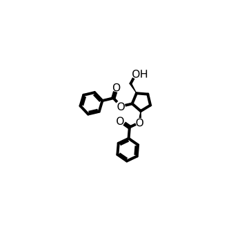 O=C(OC1[C@@H](CO)CC[C@H]1OC(=O)c1ccccc1)c1ccccc1